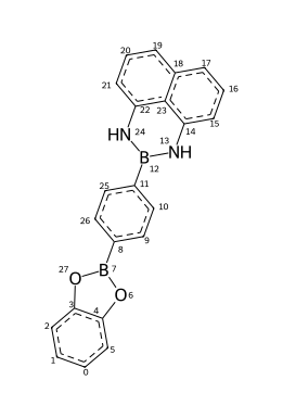 c1ccc2c(c1)OB(c1ccc(B3Nc4cccc5cccc(c45)N3)cc1)O2